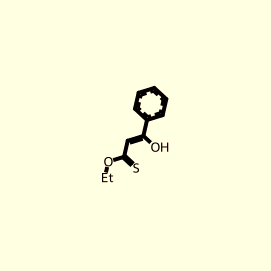 CCOC(=S)C=C(O)c1ccccc1